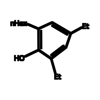 CCCCCCc1cc(CC)cc(CC)c1O